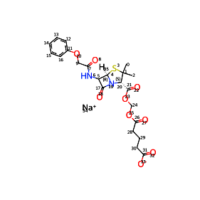 CC1(C)S[C@@H]2C(NC(=O)COc3ccccc3)C(=O)N2[C@H]1C(=O)OCOC(=O)CCCC(=O)[O-].[Na+]